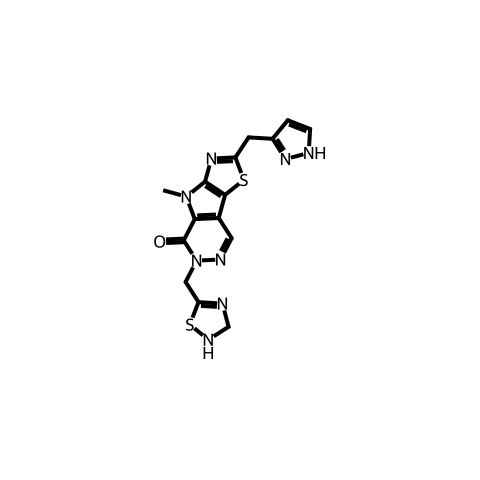 Cn1c2nc(Cc3cc[nH]n3)sc2c2cnn(CC3=NCNS3)c(=O)c21